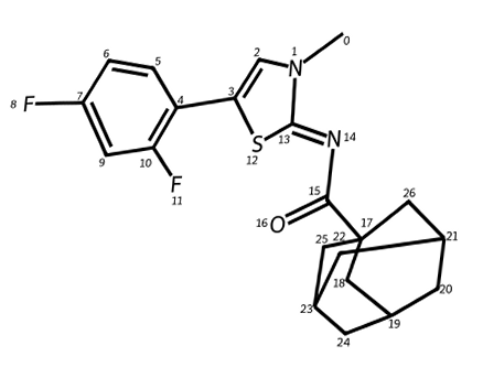 Cn1cc(-c2ccc(F)cc2F)sc1=NC(=O)C12CC3CC(CC(C3)C1)C2